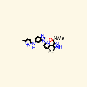 CNC(=O)c1n[nH]c(C)c1-c1nc(-n2cnc3ccc(Nc4ccc(C)nn4)cc32)ccc1C(C)=O